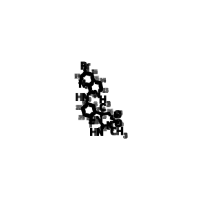 CN1C(=N)N[C@](C)(c2cc(Nc3nccc4cc(Br)cnc34)ccc2F)CS1(=O)=O